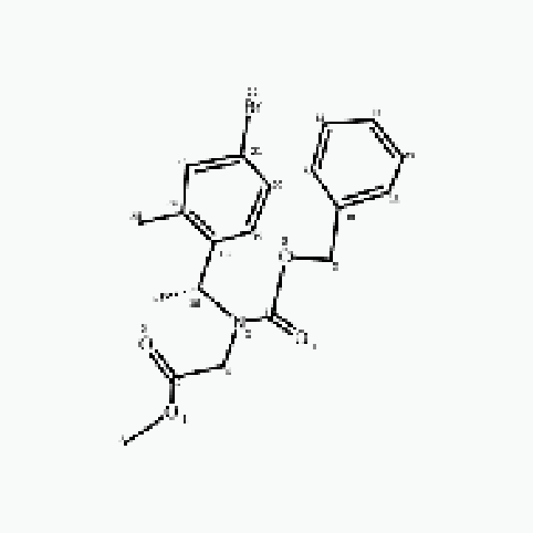 COC(=O)CN(C(=O)OCc1ccccc1)[C@H](C)c1ccc(Br)cc1C